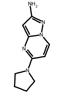 Nc1cc2nc(N3CCCC3)ccn2n1